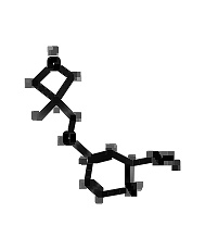 CC1(COc2ccnc(N)c2)COC1